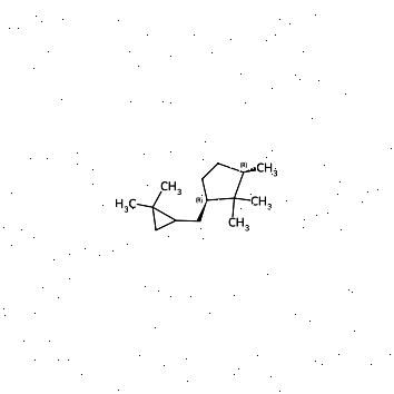 C[C@@H]1CC[C@H](CC2CC2(C)C)C1(C)C